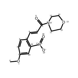 COc1ccc(/C=C/C(=O)N2CCOCC2)c([N+](=O)[O-])c1